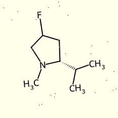 CC(C)[C@H]1CC(F)CN1C